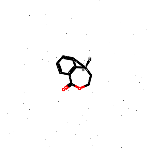 O=C1OCC[C@H]2c3cccc1c32